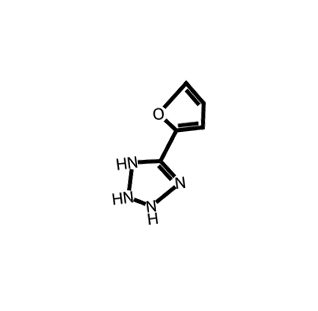 c1coc(C2=NNNN2)c1